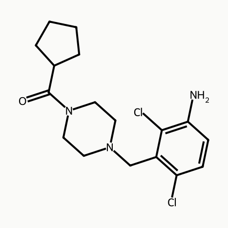 Nc1ccc(Cl)c(CN2CCN(C(=O)C3CCCC3)CC2)c1Cl